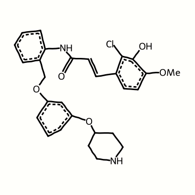 COc1ccc(C=CC(=O)Nc2ccccc2COc2cccc(OC3CCNCC3)c2)c(Cl)c1O